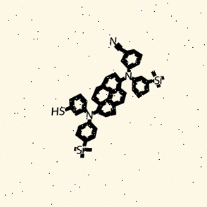 C[Si](C)(C)c1ccc(N(c2cccc(S)c2)c2ccc3ccc4c(N(c5cccc(C#N)c5)c5cccc([Si](C)(C)C)c5)ccc5ccc2c3c54)cc1